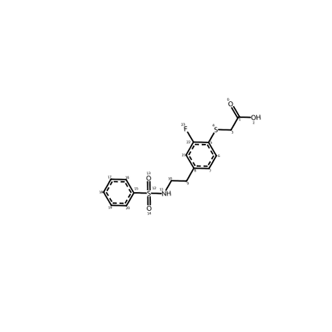 O=C(O)CSc1ccc(CCNS(=O)(=O)c2ccccc2)cc1F